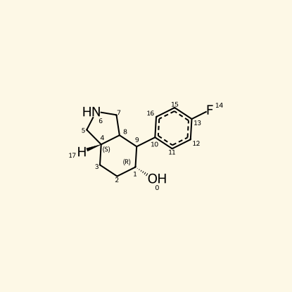 O[C@@H]1CC[C@@H]2CNCC2C1c1ccc(F)cc1